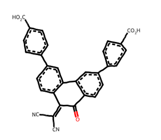 N#CC(C#N)=C1C(=O)c2ccc(-c3ccc(C(=O)O)cc3)cc2-c2cc(-c3ccc(C(=O)O)cc3)ccc21